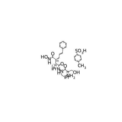 CC(C)C[C@@H](C(=O)NN(CC(C)C)C(=O)[C@@H](N)CO)[C@H](CC=Cc1ccccc1)C(=O)NO.Cc1ccc(S(=O)(=O)O)cc1